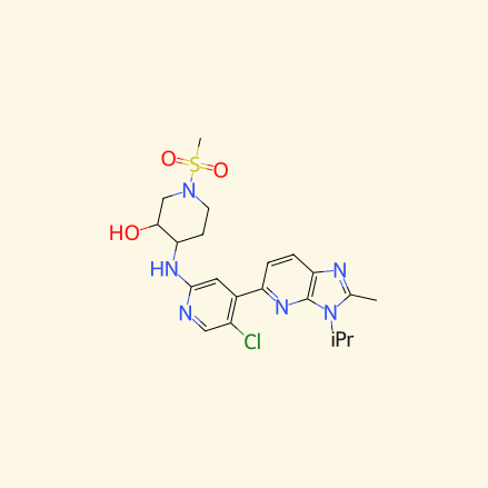 Cc1nc2ccc(-c3cc(NC4CCN(S(C)(=O)=O)CC4O)ncc3Cl)nc2n1C(C)C